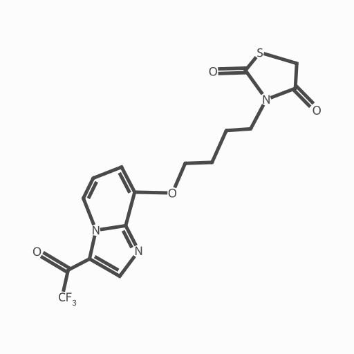 O=C1CSC(=O)N1CCCCOc1cccn2c(C(=O)C(F)(F)F)cnc12